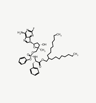 CCCCCCCCC(CCCCCCCC)COC(=O)[C@H](Cc1ccccc1)N[P@](=O)(OC[C@@]1(C)O[C@@H](n2cnc3c(N)nc(F)nc32)C[C@@H]1O)Oc1ccccc1